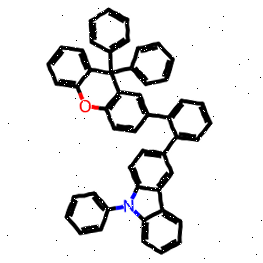 c1ccc(-n2c3ccccc3c3cc(-c4ccccc4-c4ccc5c(c4)C(c4ccccc4)(c4ccccc4)c4ccccc4O5)ccc32)cc1